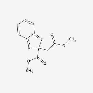 COC(=O)CC1(C(=O)OC)C=c2ccccc2=N1